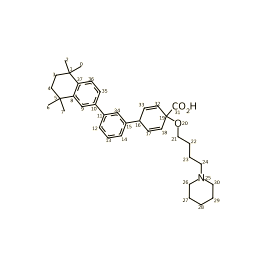 CC1(C)CCC(C)(C)c2cc(-c3cccc(C4C=CC(OCCCCN5CCCCC5)(C(=O)O)C=C4)c3)ccc21